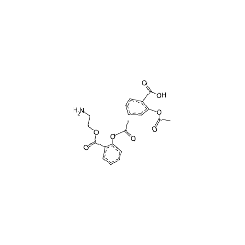 CC(=O)Oc1ccccc1C(=O)O.CC(=O)Oc1ccccc1C(=O)OCCN